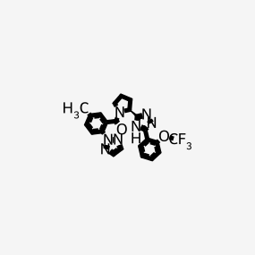 Cc1ccc(-n2nccn2)c(C(=O)N2CCC[C@H]2c2nnc(-c3ccccc3OC(F)(F)F)[nH]2)c1